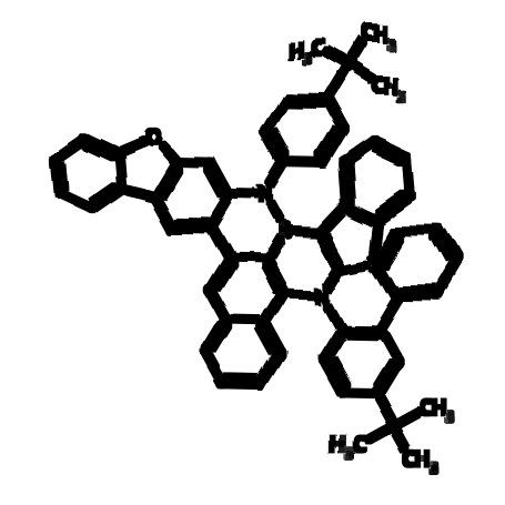 CC(C)(C)c1ccc(N2B3c4c(cc5ccccc5c4N(c4ccc(C(C)(C)C)cc4-c4ccccc4)c4sc5ccccc5c43)-c3cc4c(cc32)oc2ccccc24)cc1